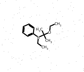 CCOC(C)(C)N(CC)c1ccccc1